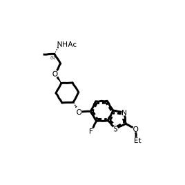 CCOc1nc2ccc(O[C@H]3CC[C@H](OC[C@H](C)NC(C)=O)CC3)c(F)c2s1